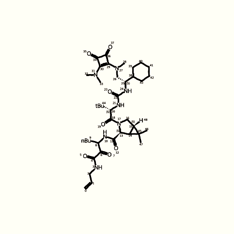 C=CCNC(=O)C(=O)C(CCCC)NC(=O)[C@@H]1C2[C@H](CN1C(=O)[C@@H](NC(=O)N[C@H](CN(C)c1c(N(C)C)c(=O)c1=O)C1CCCCC1)C(C)(C)C)C2(C)C